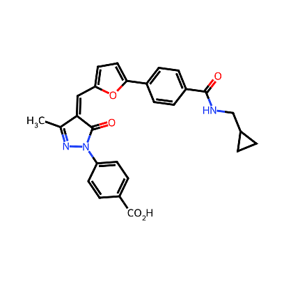 CC1=NN(c2ccc(C(=O)O)cc2)C(=O)C1=Cc1ccc(-c2ccc(C(=O)NCC3CC3)cc2)o1